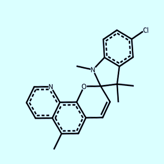 Cc1cc2c(c3ncccc13)OC1(C=C2)N(C)c2ccc(Cl)cc2C1(C)C